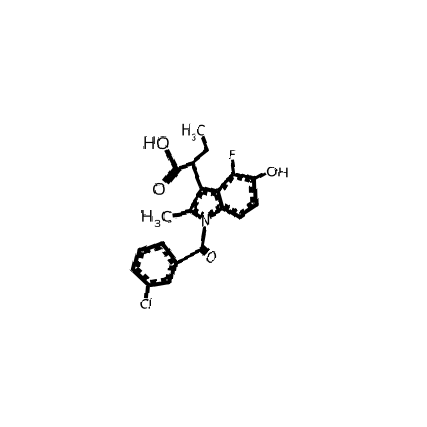 CCC(C(=O)O)c1c(C)n(C(=O)c2cccc(Cl)c2)c2ccc(O)c(F)c12